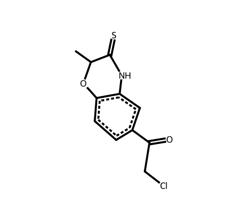 CC1Oc2ccc(C(=O)CCl)cc2NC1=S